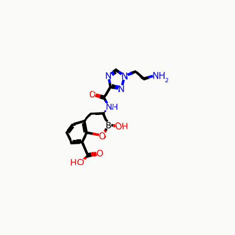 NCCn1cnc(C(=O)N[C@H]2Cc3cccc(C(=O)O)c3OB2O)n1